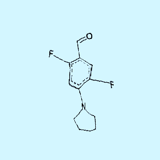 O=Cc1cc(F)c(N2CCCC2)cc1F